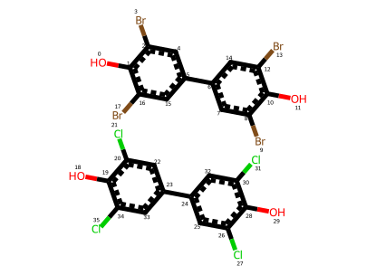 Oc1c(Br)cc(-c2cc(Br)c(O)c(Br)c2)cc1Br.Oc1c(Cl)cc(-c2cc(Cl)c(O)c(Cl)c2)cc1Cl